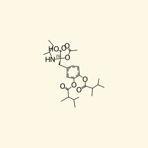 CCC(C)N[C@@](Cc1ccc(OC(=O)C(C)C(C)C)c(OC(=O)C(C)C(C)C)c1)(OC(C)=O)C(=O)O